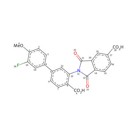 COc1ccc(-c2ccc(C(=O)O)c(N3C(=O)c4ccc(C(=O)O)cc4C3=O)c2)cc1F